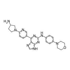 NC1CCN(c2ccc(-c3nc(Nc4ccc(N5CCOCC5)cc4)nc4[nH]cnc34)cn2)C1